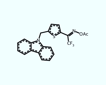 CC(=O)O/N=C(/c1ccc(Cn2c3ccccc3c3ccccc32)s1)C(F)(F)F